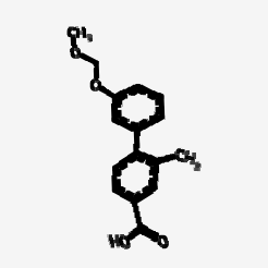 COCOc1cccc(-c2ccc(C(=O)O)cc2C)c1